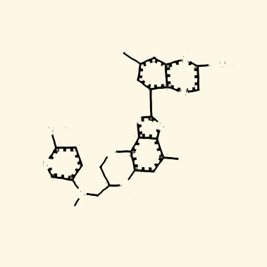 COc1cnc2c(-c3nc4c(C)cc5c(c4s3)OCC(CN(C(=O)O)c3ccc(NC(C)=O)nc3)O5)cc(C)cc2n1